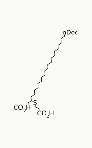 CCCCCCCCCCCCCCCCCCCCCCCCCCCCCCC(CC(=O)O)SCCC(=O)O